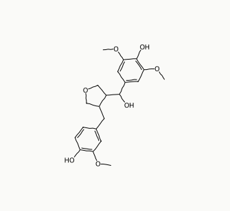 COc1cc(CC2COCC2C(O)c2cc(OC)c(O)c(OC)c2)ccc1O